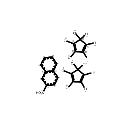 ClC1=C(Cl)C(Cl)(Cl)C(Cl)=C1Cl.ClC1=C(Cl)C(Cl)(Cl)C(Cl)=C1Cl.O=S(=O)(O)c1ccc2ccccc2c1